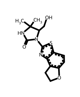 CC1(C)NC(=O)N(c2nc3c4c(ccc3s2)OCC4)C1CO